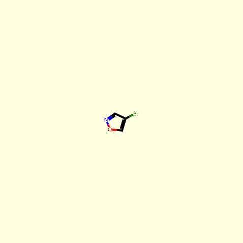 Brc1[c]noc1